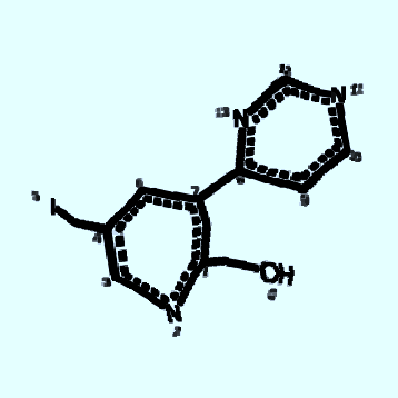 Oc1ncc(I)cc1-c1ccncn1